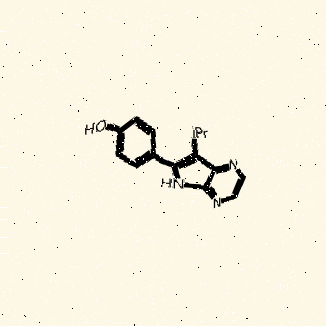 CC(C)c1c(-c2ccc(O)cc2)[nH]c2nccnc12